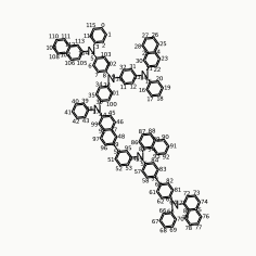 c1ccc(N(c2ccc(N(c3ccc(N(c4ccccc4)c4ccc5ccccc5c4)cc3)c3ccc(N(c4ccccc4)c4ccc5cc(-c6cccc(N(c7ccc(-c8ccc(N(c9ccccc9)c9cccc%10ccccc9%10)cc8)cc7)c7cccc8ccccc78)c6)ccc5c4)cc3)cc2)c2ccc3ccccc3c2)cc1